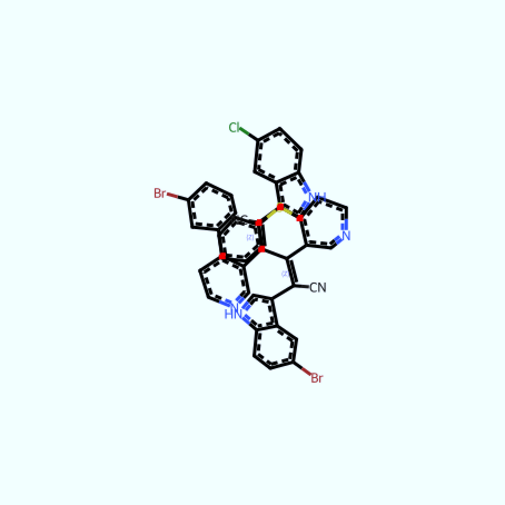 N#C/C(=C(/C(=C(/C#N)c1c[nH]c2ccc(Cl)cc12)c1cnccc1-c1cccc(Br)c1)c1cnccc1Sc1ccccc1)c1c[nH]c2ccc(Br)cc12